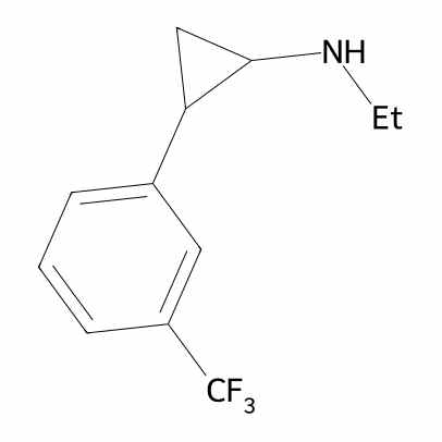 CCNC1CC1c1cccc(C(F)(F)F)c1